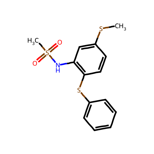 CSc1ccc(Sc2ccccc2)c(NS(C)(=O)=O)c1